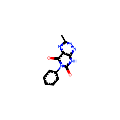 Cc1nnc2[nH]c(=O)n(-c3ccccc3)c(=O)c2n1